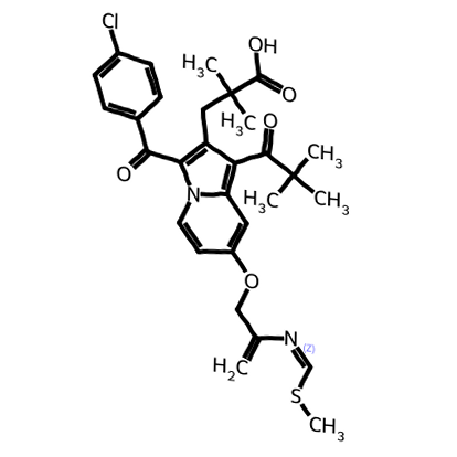 C=C(COc1ccn2c(C(=O)c3ccc(Cl)cc3)c(CC(C)(C)C(=O)O)c(C(=O)C(C)(C)C)c2c1)/N=C\SC